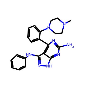 CN1CCN(c2ccccc2-c2nc(N)nc3[nH]nc(Nc4ccccc4)c23)CC1